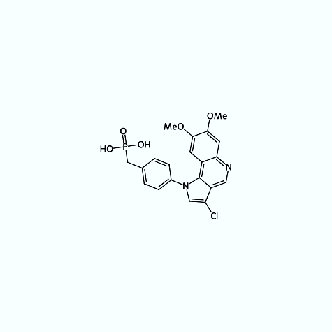 COc1cc2ncc3c(Cl)cn(-c4ccc(CP(=O)(O)O)cc4)c3c2cc1OC